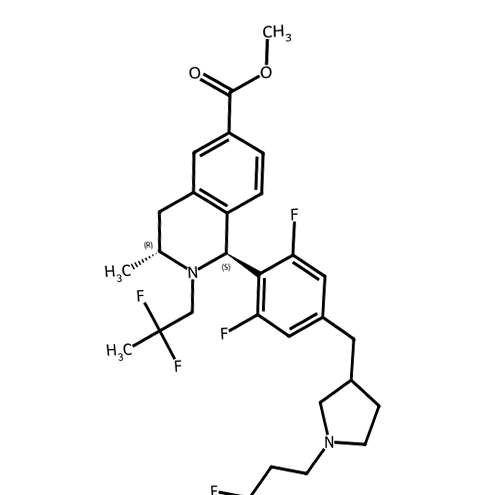 COC(=O)c1ccc2c(c1)C[C@@H](C)N(CC(C)(F)F)[C@@H]2c1c(F)cc(CC2CCN(CCCF)C2)cc1F